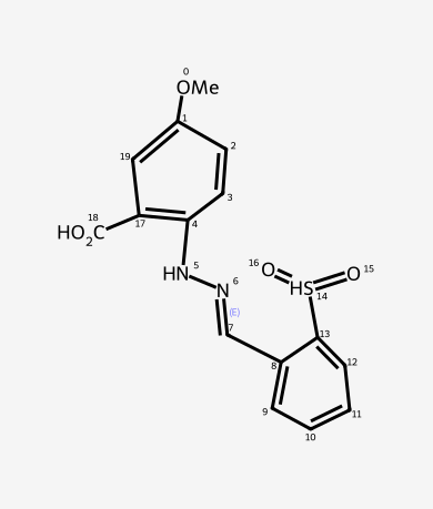 COc1ccc(N/N=C/c2ccccc2[SH](=O)=O)c(C(=O)O)c1